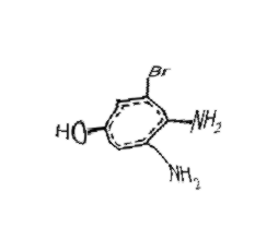 Nc1cc(O)cc(Br)c1N